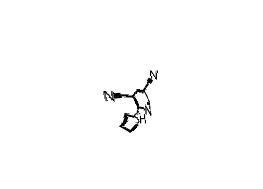 N#Cc1cnc([SH]2C=CC=C2)c(C#N)c1